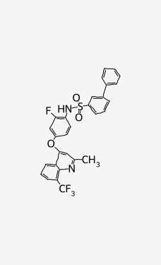 Cc1cc(Oc2ccc(NS(=O)(=O)c3cccc(-c4ccccc4)c3)c(F)c2)c2cccc(C(F)(F)F)c2n1